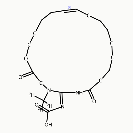 [2H]C([2H])([2H])N1CC(=O)OCCCC/C=C\CCCCCCCC(=O)NC1=NC(=O)O